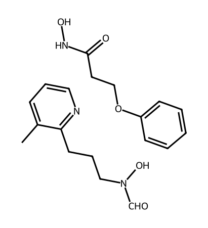 Cc1cccnc1CCCN(O)C=O.O=C(CCOc1ccccc1)NO